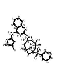 Cc1cc(Nc2nc(N[C@H]3C[C@@H](C)CC4(S(=O)(=O)c5cccnc5)C[C@H](C3)N4)nc3ccccc23)n[nH]1